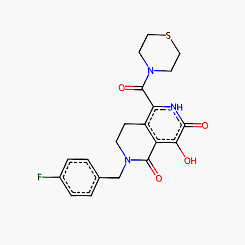 O=C(c1[nH]c(=O)c(O)c2c1CCN(Cc1ccc(F)cc1)C2=O)N1CCSCC1